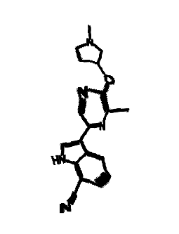 Cc1nc(-c2c[nH]c3c(C#N)cccc23)cnc1OC1CCN(C)C1